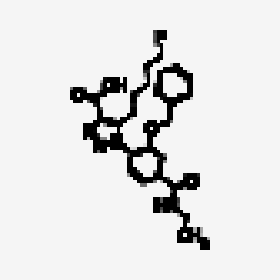 CCNC(=O)c1ccc(-n2nnc(C(=O)O)c2CCCCCF)c(OCc2ccccc2)c1